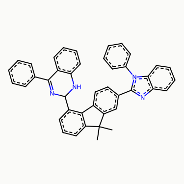 CC1(C)c2cc(-c3nc4ccccc4n3-c3ccccc3)ccc2-c2c(C3N=C(c4ccccc4)c4ccccc4N3)cccc21